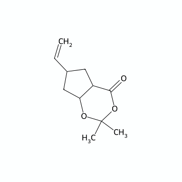 C=CC1CC2OC(C)(C)OC(=O)C2C1